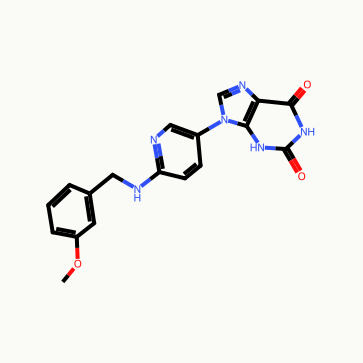 COc1cccc(CNc2ccc(-n3cnc4c(=O)[nH]c(=O)[nH]c43)cn2)c1